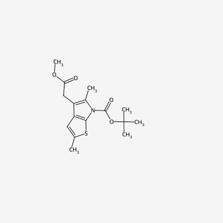 COC(=O)Cc1c(C)n(C(=O)OC(C)(C)C)c2sc(C)cc12